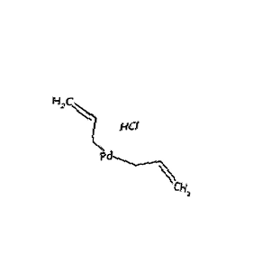 C=C[CH2][Pd][CH2]C=C.Cl